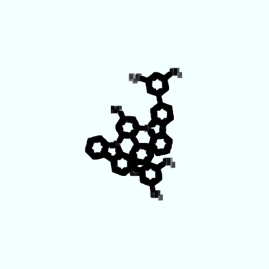 N#Cc1cccc(-c2c(-n3c4ccccc4c4ccc(-c5cc(C(F)(F)F)cc(C(F)(F)F)c5)cc43)cc(C#N)cc2-n2c3ccccc3c3ccc(-c4cc(C(F)(F)F)cc(C(F)(F)F)c4)cc32)c1